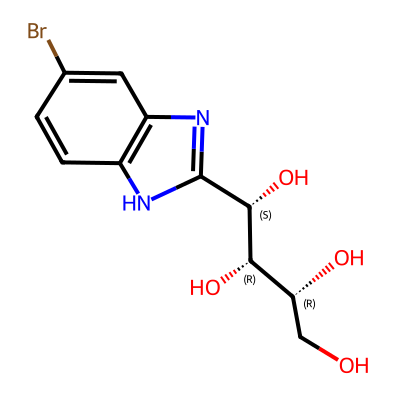 OC[C@@H](O)[C@H](O)[C@@H](O)c1nc2cc(Br)ccc2[nH]1